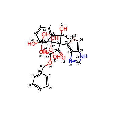 CC(O)(c1ccccc1)C(C(=O)C(=O)OCc1ccccc1)(c1scc2[nH]cnc12)C(O)(OO)C(O)(O)O